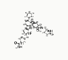 CNC(=O)C1CCN(Cc2ccnc(NC3(c4ccc(CNCC5CCC(=O)N5)c(OC)n4)C=CC=C(c4ccccc4)C3(Cl)Cl)c2F)CC1